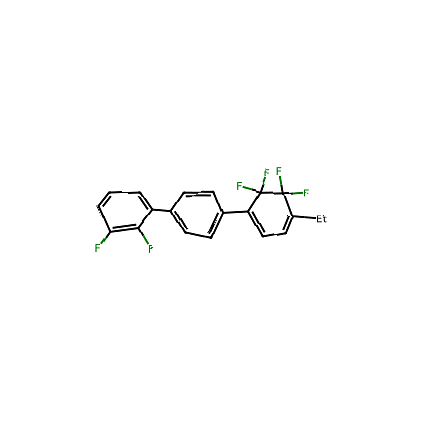 CCC1=CC=C(c2ccc(-c3cccc(F)c3F)cc2)C(F)(F)C1(F)F